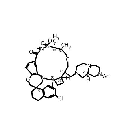 CC(=O)N1CCN2CCN(C[C@@H]3CCC[C@H](C)[C@@H](C)S(=O)(=O)NC(=O)c4ccc5c(c4)N(C[C@@H]4CC[C@@H]34)C[C@@]3(CCCc4cc(Cl)ccc43)CO5)C[C@H]2C1